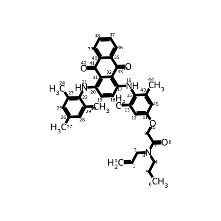 C=CCN(CCC)C(=O)COc1cc(C)c(Nc2ccc(Nc3c(C)cc(C)cc3C)c3c2C(=O)c2ccccc2C3=O)c(C)c1